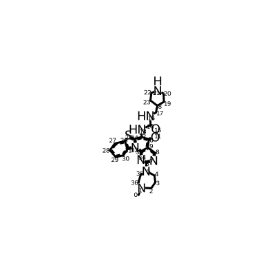 CN1CCCN(c2ncc3c(=O)c(NC(=O)NCC4CCNCC4)c4sc5ccccc5n4c3n2)CC1